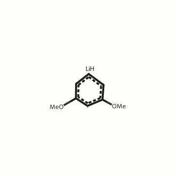 COc1[c]c(OC)ccc1.[LiH]